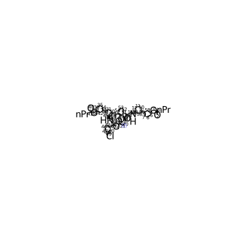 CCCC(=O)Oc1cccc([C@@H]2CCC[C@@H](NC[C@@H](OC(=O)/C=C\C(=O)O[C@H](CN[C@@H]3CCC[C@@H](c4cccc(OC(=O)CCC)c4)C3)c3cccc(Cl)c3)c3cccc(Cl)c3)C2)c1